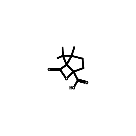 CC1(C)C2(C)CCC3(C(=O)O)OC(=O)C312